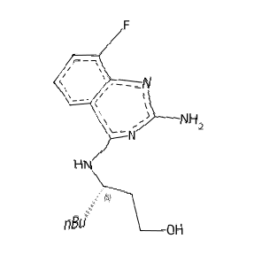 CCCC[C@@H](CCO)Nc1nc(N)nc2c(F)cccc12